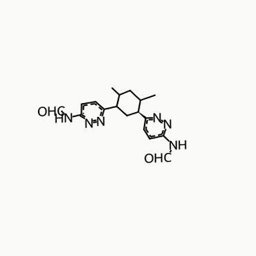 CC1CC(C)[C@@H](c2ccc(NC=O)nn2)CC1c1ccc(NC=O)nn1